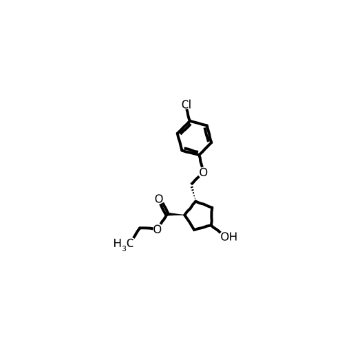 CCOC(=O)[C@@H]1CC(O)C[C@H]1COc1ccc(Cl)cc1